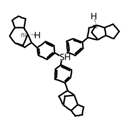 c1cc([SH](c2ccc(C3C[C@@H]4CC3C3CCCC34)cc2)c2ccc(C3CC4CC5CCCC5[C@@H]3C4)cc2)ccc1C1CC2CC1C1CCCC21